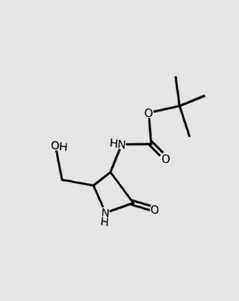 CC(C)(C)OC(=O)NC1C(=O)NC1CO